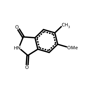 COc1cc2c(cc1C)C(=O)NC2=O